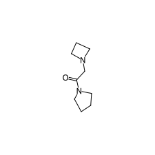 O=C(CN1CCC1)N1CCCC1